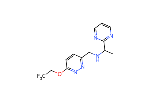 CC(NCc1ccc(OCC(F)(F)F)nn1)c1ncccn1